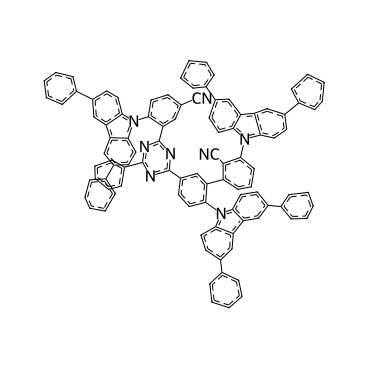 N#Cc1ccc(-n2c3ccc(-c4ccccc4)cc3c3cc(-c4ccccc4)ccc32)c(-c2nc(-c3ccccc3)nc(-c3ccc(-n4c5ccc(-c6ccccc6)cc5c5cc(-c6ccccc6)ccc54)c(-c4cccc(-n5c6ccc(-c7ccccc7)cc6c6cc(-c7ccccc7)ccc65)c4C#N)c3)n2)c1